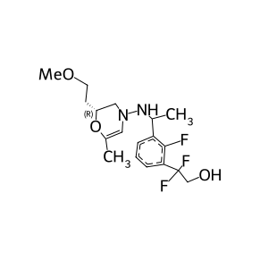 COCC[C@@H]1CN(NC(C)c2cccc(C(F)(F)CO)c2F)C=C(C)O1